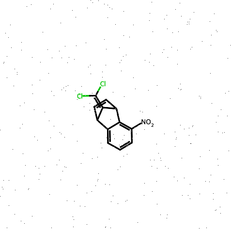 O=[N+]([O-])c1cccc2c1C1C=CC2C1=C(Cl)Cl